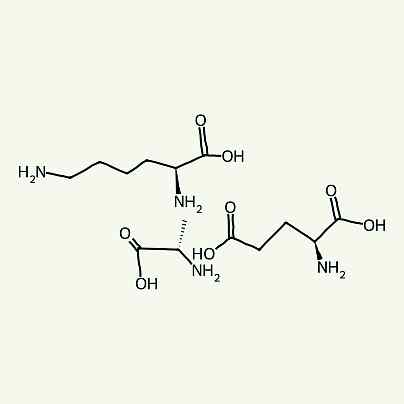 C[C@H](N)C(=O)O.NCCCC[C@H](N)C(=O)O.N[C@@H](CCC(=O)O)C(=O)O